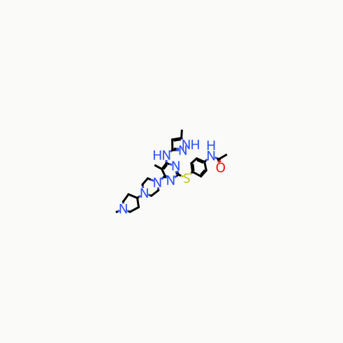 CC(=O)Nc1ccc(Sc2nc(Nc3cc(C)[nH]n3)c(C)c(N3CCN(C4CCN(C)CC4)CC3)n2)cc1